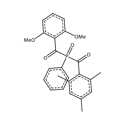 COc1cccc(OC)c1C(=O)P(=O)(C(=O)c1c(C)cc(C)cc1C)c1ccccc1